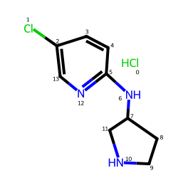 Cl.Clc1ccc(NC2CCNC2)nc1